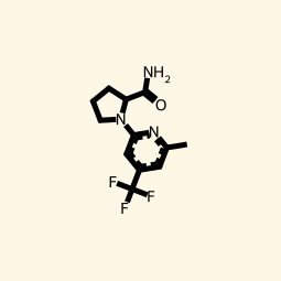 Cc1cc(C(F)(F)F)cc(N2CCCC2C(N)=O)n1